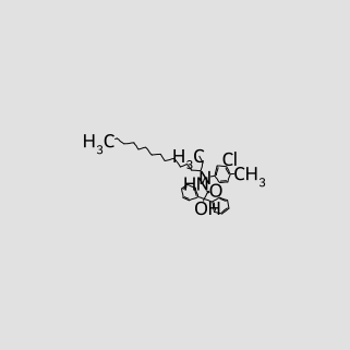 CCCCCCCCCCCCCC(CC)N(NC(=O)C(O)(c1ccccc1)c1ccccc1)c1ccc(C)c(Cl)c1